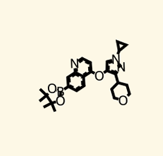 CC1(C)OB(c2ccc3c(Oc4cn(C5CC5)nc4C4CCOCC4)ccnc3c2)OC1(C)C